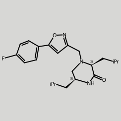 CC(C)C[C@H]1CN(Cc2cc(-c3ccc(F)cc3)on2)[C@@H](CC(C)C)C(=O)N1